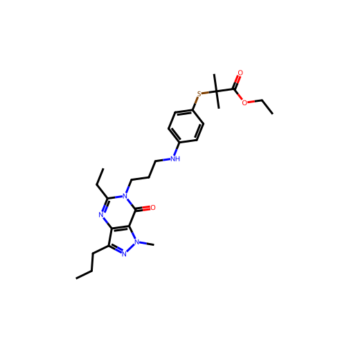 CCCc1nn(C)c2c(=O)n(CCCNc3ccc(SC(C)(C)C(=O)OCC)cc3)c(CC)nc12